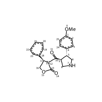 COc1ccc([C@@H]2CNC[C@H]2C(=O)N2C(=O)OC[C@H]2c2ccccc2)cc1